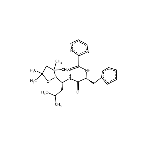 CC(C)C[C@H](NC(=O)[C@H](Cc1ccccc1)NC(=O)c1ncccn1)B1OC(C)(C)CC1(C)C